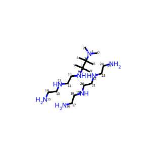 CN(C)C(C)(C)C(C)(C)NCCNCCN.NCCNCCNCCN